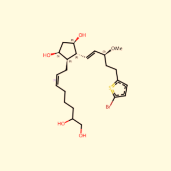 CO[C@H](C=C[C@@H]1[C@@H](C/C=C\CCCC(O)CO)[C@@H](O)C[C@H]1O)CCc1ccc(Br)s1